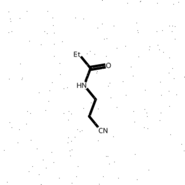 [CH2]CC(=O)NCCC#N